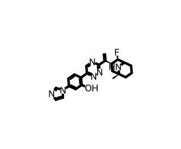 C=C(c1ncc(-c2ccc(-n3ccnc3)cc2O)nn1)[C@@H]1C[C@@]2(C)CCCC(N2)[C@@H]1F